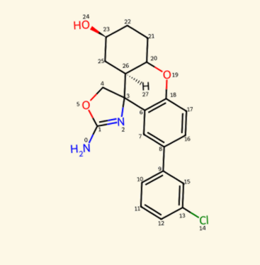 NC1=NC2(CO1)c1cc(-c3cccc(Cl)c3)ccc1OC1CC[C@H](O)C[C@@H]12